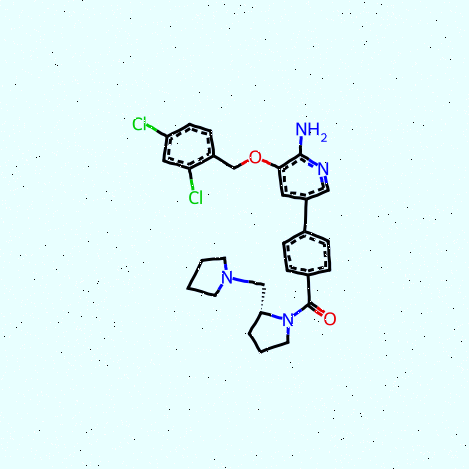 Nc1ncc(-c2ccc(C(=O)N3CCC[C@@H]3CN3CCCC3)cc2)cc1OCc1ccc(Cl)cc1Cl